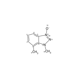 Cc1cccc2c1n(C)n[n+]2[O-]